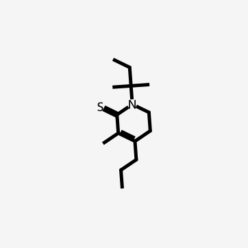 CCCC1=C(C)C(=S)N(C(C)(C)CC)CC1